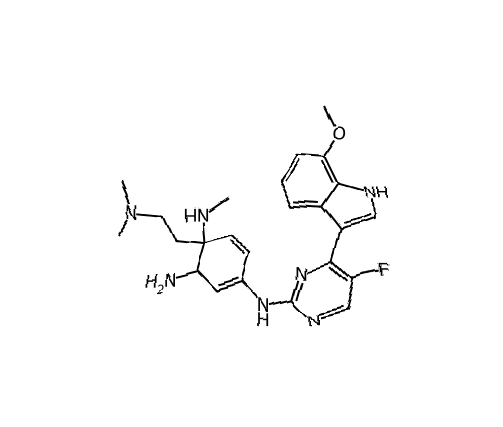 CNC1(CCN(C)C)C=CC(Nc2ncc(F)c(-c3c[nH]c4c(OC)cccc34)n2)=CC1N